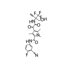 C#CC(CO)(NC(=O)C(=O)c1c(C)c(C(=O)Nc2ccc(F)c(C#N)c2)n(C)c1C)C(F)(F)F